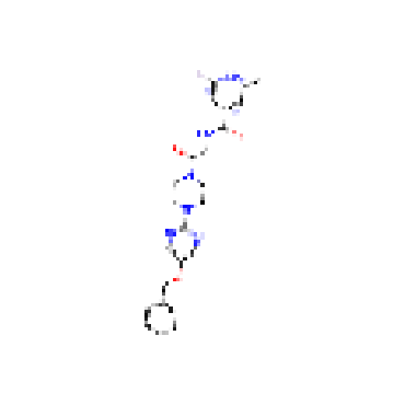 C=C/C=C(\C=C(/N)I)C(=O)NCC(=O)N1CCN(c2ncc(OCc3ccccc3)cn2)CC1